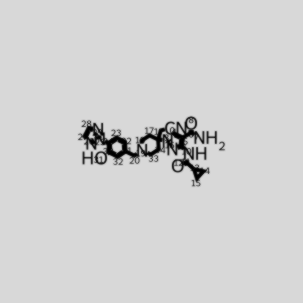 N#CCC1(n2cc(C(N)=O)c(NC(=O)C3CC3)n2)CCN(Cc2ccc(-n3nccn3)c(O)c2)CC1